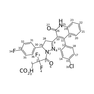 O=C(O)CC(F)(F)C(=O)N1N=C(c2c(-c3ccc(Cl)cc3)c3ccccc3[nH]c2=O)CC1c1ccc(F)cc1